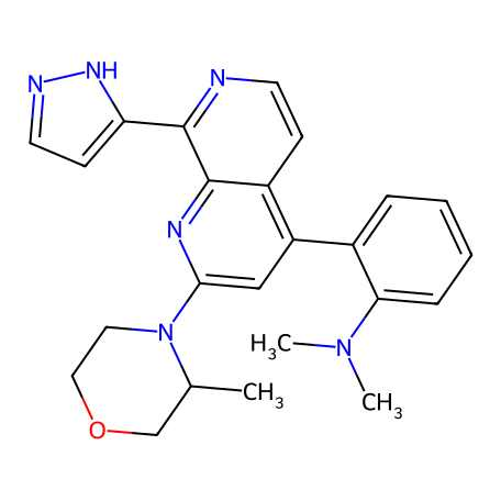 CC1COCCN1c1cc(-c2ccccc2N(C)C)c2ccnc(-c3ccn[nH]3)c2n1